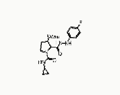 COC1CCN(C(=O)NC2CC2)C1C(=O)NNc1ccc(F)cc1